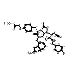 COC(=O)COc1ccc(C[C@H]2C(=O)N(Cc3cccc4sc(N)nc34)C[C@H]3N2C(=O)CN3N(CC#N)C(=O)NCc2ccc(F)cc2)cc1